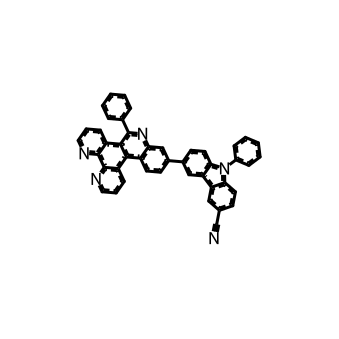 N#Cc1ccc2c(c1)c1cc(-c3ccc4c(c3)nc(-c3ccccc3)c3c5cccnc5c5ncccc5c43)ccc1n2-c1ccccc1